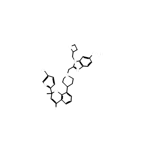 CC1(c2ccc(Cl)cn2)C=C(F)c2cccc(C3CCN(Cc4nc5ccc(C(=O)O)cc5n4CC4CCO4)CC3)c2O1